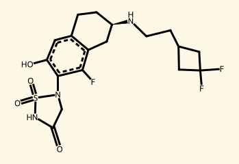 O=C1CN(c2c(O)cc3c(c2F)C[C@H](NCCC2CC(F)(F)C2)CC3)S(=O)(=O)N1